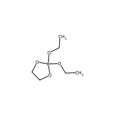 CCO[B-]1(OCC)OCCO1